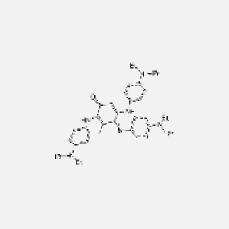 CCN(c1ccc(/N=C2\C(Nc3ccc(N(CC)C(C)C)cc3)=CC(=O)C(Nc3ccc(N(CC)C(C)C)cc3)=C2C)cc1)C(C)C